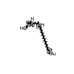 CC(CCC(=O)NC(C)(C)C(=O)NCCO)NC(=O)CCCCCCCCCCCCCCCCC(=O)OC(C)(C)C